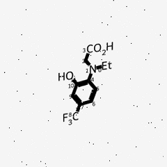 CCN(CC(=O)O)c1ccc(C(F)(F)F)cc1O